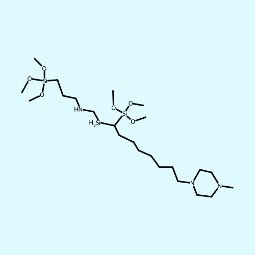 CO[Si](CCCNC[SiH2]C(CCCCCCCN1CCN(C)CC1)[Si](OC)(OC)OC)(OC)OC